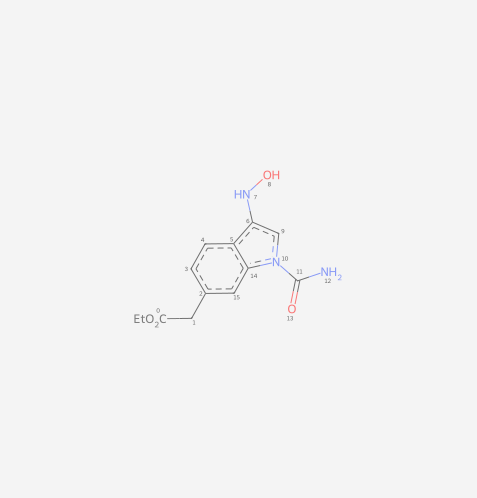 CCOC(=O)Cc1ccc2c(NO)cn(C(N)=O)c2c1